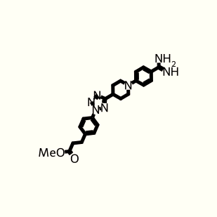 COC(=O)CCc1ccc(-n2nnc(C3CCN(c4ccc(C(=N)N)cc4)CC3)n2)cc1